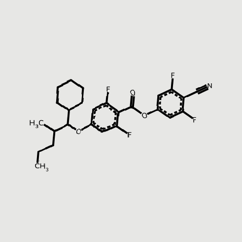 CCCC(C)C(Oc1cc(F)c(C(=O)Oc2cc(F)c(C#N)c(F)c2)c(F)c1)C1CCCCC1